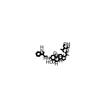 CC1=C(CO)C(=O)O[C@@H]([C@@H](C)[C@H]2CC[C@H]3[C@@H]4C[C@H]5O[C@]56[C@@H](O)C(NCCc5c[nH]c7ccccc57)CC(=O)[C@]6(C)[C@H]4CC[C@]23C)C1